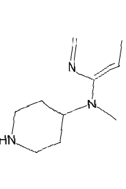 C=N/C(=C\C)N(C)C1CCNCC1